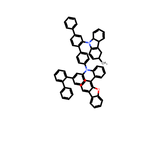 CC1C=CC2=C(C1)C1C=CC=CC1N2c1cc(-c2ccccc2)ccc1-c1ccc(N(c2cccc(-c3ccccc3-c3ccccc3)c2)c2ccccc2-c2cccc3c2oc2ccccc23)cc1